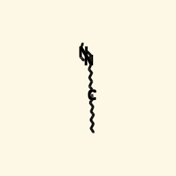 CCCCCCCCCCCCCCCCCN1CCN(CC)CC1